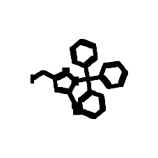 N#Cc1cc(CI)nn1C(c1ccccc1)(c1ccccc1)c1ccccc1